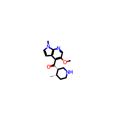 COc1cnc2c(ccn2C)c1C(=O)[C@@H]1CNCC[C@@H]1C